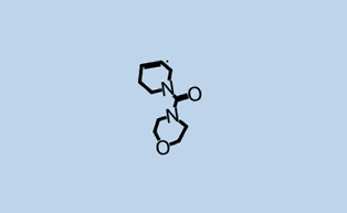 O=C(N1C[C]=CCC1)N1CCOCC1